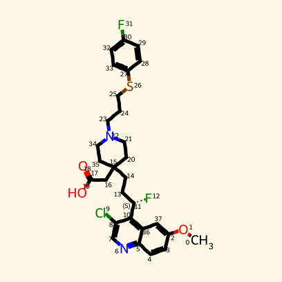 COc1ccc2ncc(Cl)c([C@@H](F)CCC3(CC(=O)O)CCN(CCCSc4ccc(F)cc4)CC3)c2c1